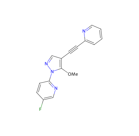 COc1c(C#Cc2ccccn2)cnn1-c1ccc(F)cn1